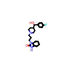 O=c1[nH]c2ccccc2n1CCCN1CCC(C(O)c2ccc(F)cc2)CC1